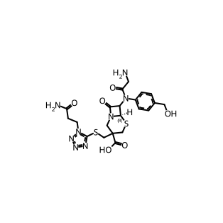 NCC(=O)N(c1ccc(CO)cc1)C1C(=O)N2CC(CSc3nnnn3CCC(N)=O)(C(=O)O)CS[C@H]12